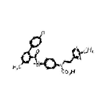 Cc1ccc(-c2ccc(Cl)cc2)c(C(=O)Nc2ccc(N(CCc3csc(C)n3)C(=O)O)cc2)c1